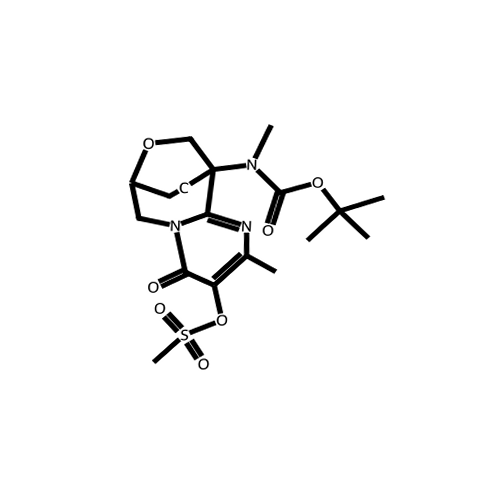 Cc1nc2n(c(=O)c1OS(C)(=O)=O)CC1CCC2(N(C)C(=O)OC(C)(C)C)CO1